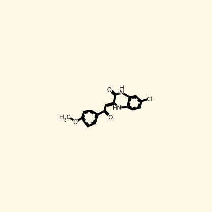 COc1ccc(C(=O)/C=C2\Nc3ccc(Cl)cc3NC2=O)cc1